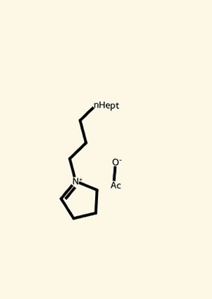 CC(=O)[O-].CCCCCCCCCC[N+]1=CCCC1